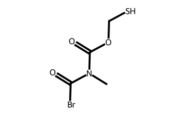 CN(C(=O)Br)C(=O)OCS